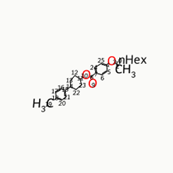 CCCCCC[C@H](C)Oc1ccc(C(=O)OC2CCC(c3ccc(C)cc3)CC2)cc1